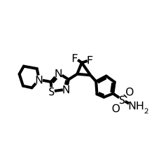 NS(=O)(=O)c1ccc(C2C(c3nsc(N4CCCCC4)n3)C2(F)F)cc1